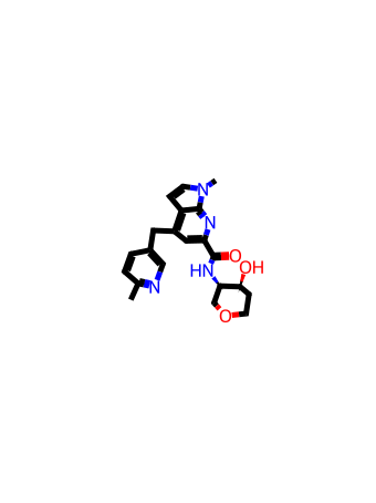 Cc1ccc(Cc2cc(C(=O)N[C@@H]3COCC[C@@H]3O)nc3c2ccn3C)cn1